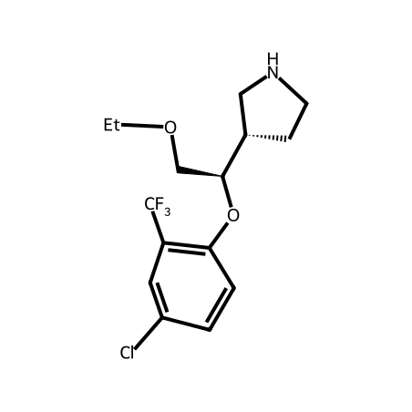 CCOC[C@H](Oc1ccc(Cl)cc1C(F)(F)F)[C@H]1CCNC1